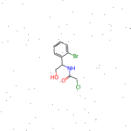 O=C(CCl)NC(CO)c1ccccc1Br